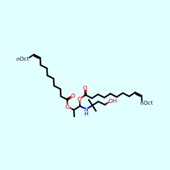 CCCCCCCC/C=C\CCCCCCCC(=O)OC(C)C(NC(C)(C)CCO)OC(=O)CCCCCCC/C=C\CCCCCCCC